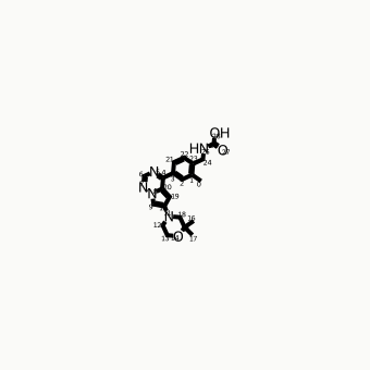 Cc1cc(-c2ncnn3cc(N4CCOC(C)(C)C4)cc23)ccc1CNC(=O)O